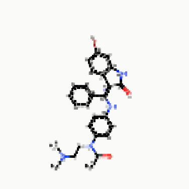 CC(=O)N(CCN(C)C)c1ccc(N/C(=C2\C(=O)Nc3cc(Br)ccc32)c2ccccc2)cc1